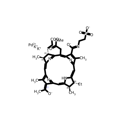 CC[C@H]1C2=CC3=NC(=C(CC(=O)OC)C4=NC(=CC5=C(C)/C(=C(\C)[O-])C(=N5)C=C(N2)[C@@H]1C)[C@@H](C)[C@@H]4CCC(=O)[O-])C(C([O-])=NCCS(=O)(=O)[O-])=C3C.[K+].[K+].[Pd+2]